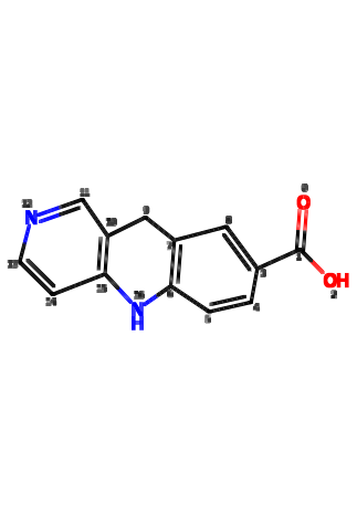 O=C(O)c1ccc2c(c1)Cc1cnccc1N2